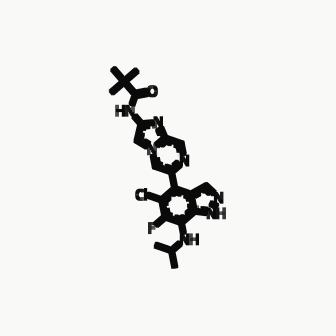 CC(C)Nc1c(F)c(Cl)c(-c2cn3cc(NC(=O)C(C)(C)C)nc3cn2)c2cn[nH]c12